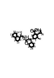 Cc1cc([C@H]2C[C@H](CN[C@H](C)c3cccc4ccccc34)Oc3ccccc32)cc(C(=O)O)c1C1CC1